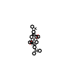 CC1(C)c2ccccc2-c2cc3c4ccc5c(c4n(-c4ccccc4)c3cc21)C1(c2ccccc2-c2ccc3c4cc(N(c6ccccc6)c6ccccc6)ccc4n(-c4ccccc4)c3c21)c1ccccc1-5